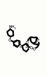 N[C@H]1CC[C@@H](Oc2ccc([C@@H]3CCC[C@@]4(C3)OCC3CC5CC(COO4)CC(C3)C5)cc2)CC1